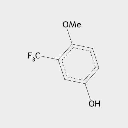 COc1ccc(O)cc1C(F)(F)F